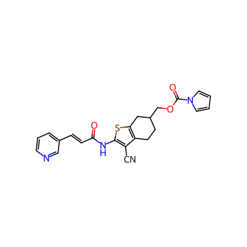 N#Cc1c(NC(=O)C=Cc2cccnc2)sc2c1CCC(COC(=O)n1cccc1)C2